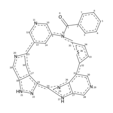 O=C(c1ccccc1)n1c2cncc(c2)c2cc3c(cn2)[nH]nc3c2nc3c(cncc3c3ccc1s3)[nH]2